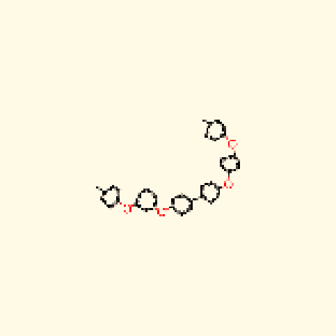 Cc1ccc(Oc2ccc(Oc3ccc(-c4ccc(Oc5cccc(Oc6ccc(C)cc6)c5)cc4)cc3)cc2)cc1